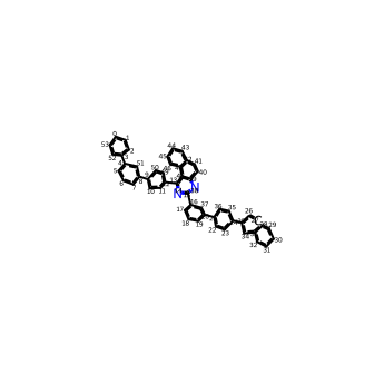 c1ccc(-c2cccc(-c3ccc(-c4nc(-c5cccc(-c6ccc(-c7ccc8ccccc8c7)cc6)c5)nc5ccc6ccccc6c45)cc3)c2)cc1